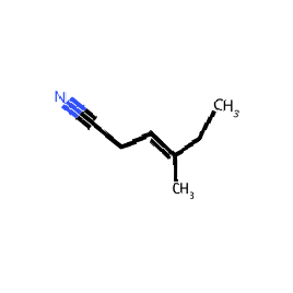 CCC(C)=CCC#N